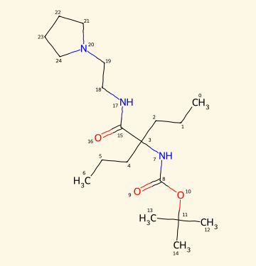 CCCC(CCC)(NC(=O)OC(C)(C)C)C(=O)NCCN1CCCC1